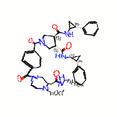 CCCCCCCCN1CCN(C(=O)c2ccc(C(=O)N3C[C@@H](C(=O)NC4C[C@@H]4c4ccccc4)[C@H](C(=O)N[C@H]4C[C@@H]4c4ccccc4)C3)cc2)CC1C(=O)NCCCCCC